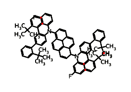 CC(C)(C)c1ccccc1-c1ccc(N(C2=C3C=CC4=C5C(=CC=C(C=C2)C35)C(N(c2cccc(F)c2)c2ccc(-c3ccccc3C(C)(C)C)cc2-c2ccccc2C(C)(C)C)C=C4)c2cccc(F)c2)c(-c2ccccc2C(C)(C)C)c1